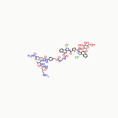 CC(=O)N[C@@H](CCCCN)C(=O)N[C@H](C(=O)N[C@@H](CCCNC(N)=O)C(=O)Nc1ccc(COC(=O)N(C)CCN(C)C(=O)Oc2cc3c(c4ccccc24)[C@H](CCl)CN3C(=O)c2ccc(C(=O)N3C[C@@H](CCl)c4c3cc(O[C@@H]3OC(CO)[C@H](O)C(O)[C@@H]3O)c3ccccc43)s2)cc1)C(C)C